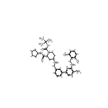 CC(C)(C)OC(=O)N1CCC(NCc2cccc(-c3cnc(N)c(NCc4c(Cl)cccc4Cl)n3)c2)CC1C(=O)OC1CCCC1